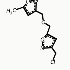 Cc1cc(COCc2cc(CCl)no2)no1